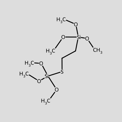 CO[Si](CCS[Si](OC)(OC)OC)(OC)OC